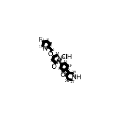 Cl.O=c1cc(OCc2ccc(F)cn2)cnn1-c1ccc2c3c(oc2c1)CCNC3